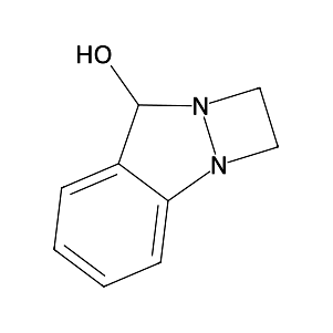 OC1c2ccccc2N2CCN12